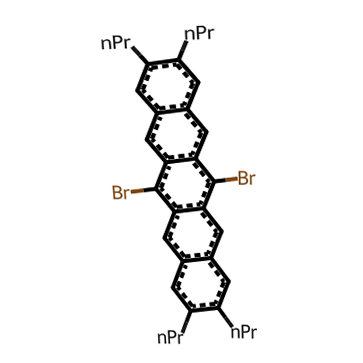 CCCc1cc2cc3c(Br)c4cc5cc(CCC)c(CCC)cc5cc4c(Br)c3cc2cc1CCC